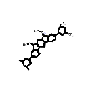 Cc1cc(C)cc(-c2ccc3c(c2)/c(=N\C#N)c2cc4/c(=N\C#N)c5cc(-c6cc(C(F)(F)F)cc(C(F)(F)F)c6)ccc5c4cc23)c1